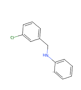 Clc1cccc(CNc2[c]cccc2)c1